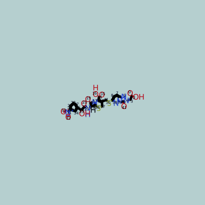 O=C(O)Cn1nc2ccc(SCC3=C(C(=O)O)N4C(=O)C(NC(=O)C(O)c5cccc([N+](=O)[O-])c5)[C@@H]4SC3)nn2c1=O